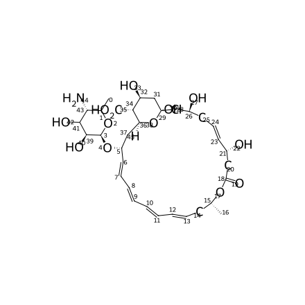 CC1O[C@@H](O[C@H]2/C=C/C=C/C=C/C=C/C[C@@H](C)OC(=O)C[C@@H](O)/C=C/C[C@H](O)C[C@]3(O)C[C@H](O)[C@@H](C(=O)O)[C@H](C2)O3)[C@@H](O)C(O)[C@@H]1N